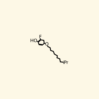 CC(C)CCCCCCCCCOC1C=CC(O)=C(F)C1